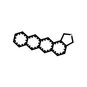 c1ccc2cc3cc4c5c(ccc4cc3cc2c1)CSC5